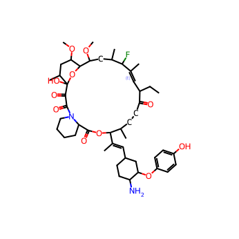 CCC1/C=C(\C)C(F)C(C)CC(OC)C2OC(O)(C(=O)C(=O)N3CCCCC3C(=O)OC(C(C)=CC3CCC(N)C(Oc4ccc(O)cc4)C3)C(C)CCC1=O)C(C)CC2OC